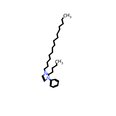 CCCCCCCCCCCCCCCCN1C=CN(c2ccccc2)C1CCCC